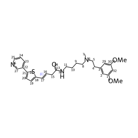 COc1cc(CCN(C)CCCCNC(=O)C/C=C/c2ccc(-c3cccnc3)s2)cc(OC)c1